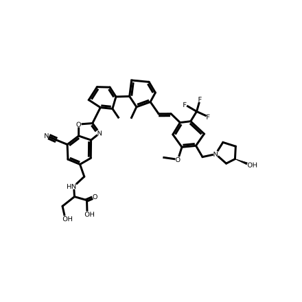 COc1cc(/C=C/c2cccc(-c3cccc(-c4nc5cc(CNC(CO)C(=O)O)cc(C#N)c5o4)c3C)c2C)c(C(F)(F)F)cc1CN1CC[C@@H](O)C1